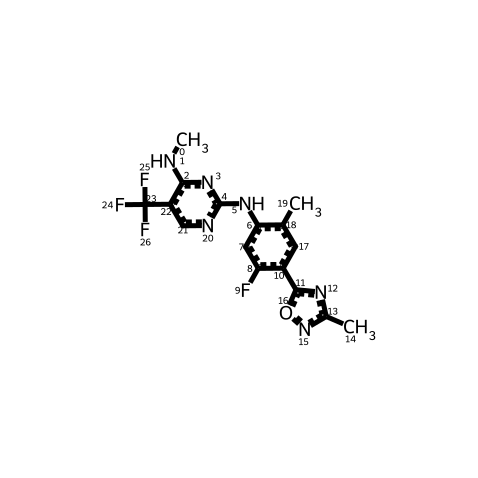 CNc1nc(Nc2cc(F)c(-c3nc(C)no3)cc2C)ncc1C(F)(F)F